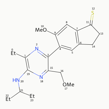 CCc1nc(-c2cc3c(cc2OC)C(=S)CC3)c(COC)nc1NC(CC)CC